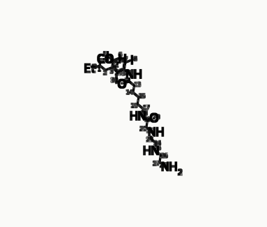 CCC(Cc1c(I)cc(I)c(NC(=O)CCCCCNC(=O)CNCCNCCN)c1I)C(=O)O